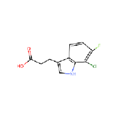 O=C(O)CCc1c[nH]c2c(Cl)c(F)ccc12